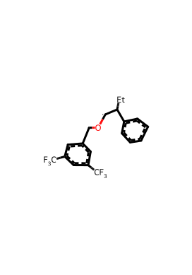 [CH2]CC([CH]OCc1cc(C(F)(F)F)cc(C(F)(F)F)c1)c1ccccc1